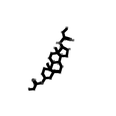 CCC(=O)OC1CCC2(C)C(=CCC3C2CCC2(C)C(OC(=O)CC)CCC32)C1